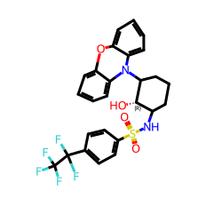 O=S(=O)(NC1CCCC(N2c3ccccc3Oc3ccccc32)[C@H]1O)c1ccc(C(F)(F)C(F)(F)F)cc1